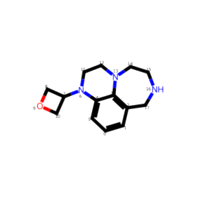 c1cc2c3c(c1)N(C1COC1)CCN3CCNC2